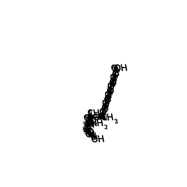 CCCN(CCCOCCCN(C)CCOCCOCCOCCOCCOCCOCCOCCOCCOCCOCCC(=O)O)C(=O)C1=Cc2ccc(-c3cccc(S(=O)(=O)N4CC(CO)C4)c3)cc2N=C(N)C1